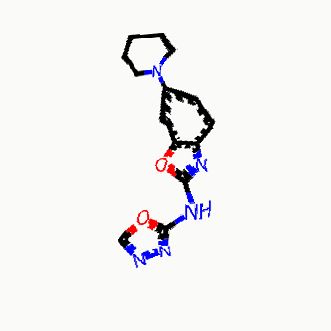 c1nnc(Nc2nc3ccc(N4CCCCC4)cc3o2)o1